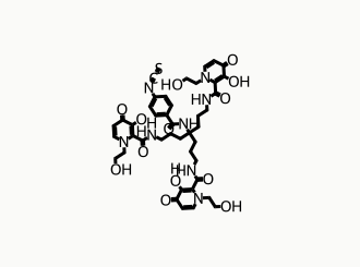 O=C(NC(CCCNC(=O)c1c(O)c(=O)ccn1CCO)(CCCNC(=O)c1c(O)c(=O)ccn1CCO)CCCNC(=O)c1c(O)c(=O)ccn1CCO)c1ccc(N=C=S)cc1